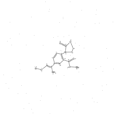 CCO/N=C(\N)c1ccc(N2CCOC2=O)c(C(=O)OC(C)(C)C)n1